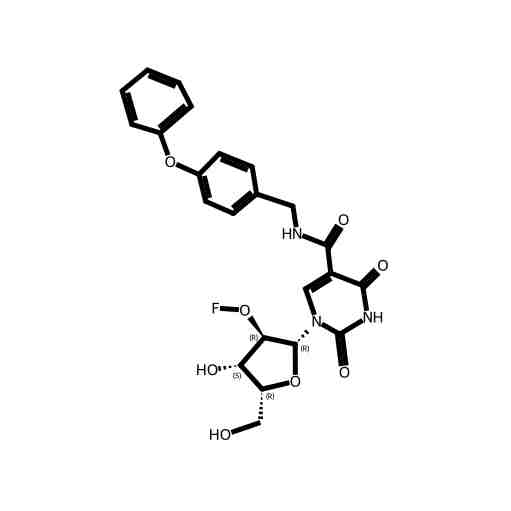 O=C(NCc1ccc(Oc2ccccc2)cc1)c1cn([C@@H]2O[C@H](CO)[C@H](O)[C@H]2OF)c(=O)[nH]c1=O